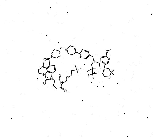 COc1ccc([C@]2(CCN(Cc3ccc(C4=CC[C@@H](CN5CCN(C(=O)c6ccc7c8c6NCCn8c(=O)n7C6CCC(=O)N(COCC[Si](C)(C)C)C6=O)CC5)CC4)cc3)CC(C)(C)C(F)(F)F)CCOC(C)(C)C2)cc1